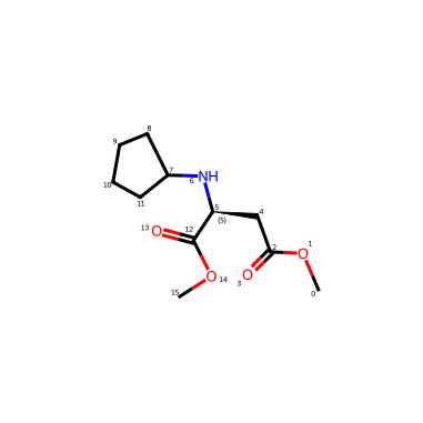 COC(=O)C[C@H](NC1CCCC1)C(=O)OC